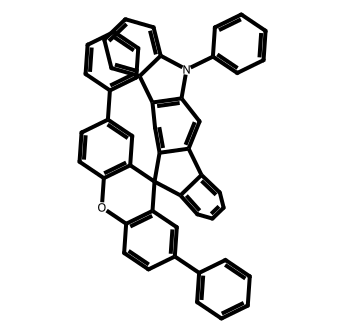 c1ccc(-c2ccc3c(c2)C2(c4cc(-c5ccccc5)ccc4O3)c3ccccc3-c3cc4c(cc32)c2ccccc2n4-c2ccccc2)cc1